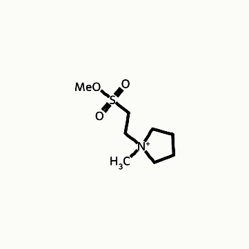 COS(=O)(=O)CC[N+]1(C)CCCC1